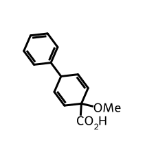 COC1(C(=O)O)C=CC(c2ccccc2)C=C1